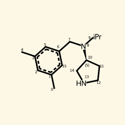 Cc1cc(C)cc(CN(C(C)C)[C@H]2CCNC2)c1